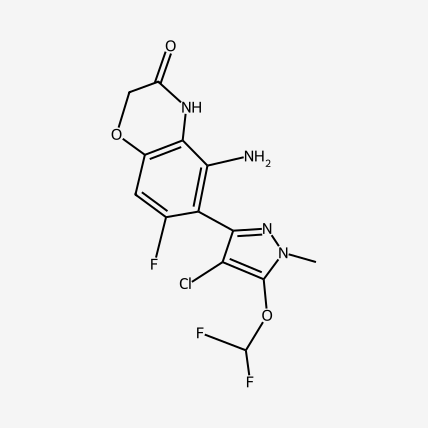 Cn1nc(-c2c(F)cc3c(c2N)NC(=O)CO3)c(Cl)c1OC(F)F